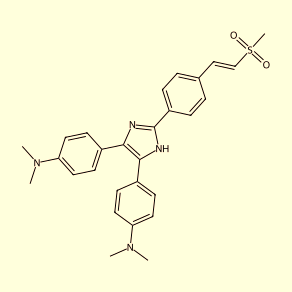 CN(C)c1ccc(-c2nc(-c3ccc(/C=C/S(C)(=O)=O)cc3)[nH]c2-c2ccc(N(C)C)cc2)cc1